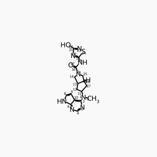 CN(c1ncnc2[nH]ccc12)C1CC2CN(C(=O)Nc3nc(O)ns3)C[C@@H]2C1